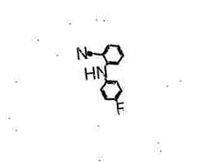 N#Cc1ccccc1Nc1ccc(F)cc1